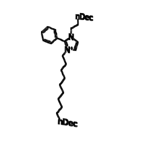 CCCCCCCCCCCCCCCCCCC[n+]1ccn(CCCCCCCCCCCC)c1-c1ccccc1